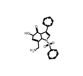 NCC1=CC(O)C(=O)C2C(c3ccccc3)=CN(S(=O)(=O)c3ccccc3)C12